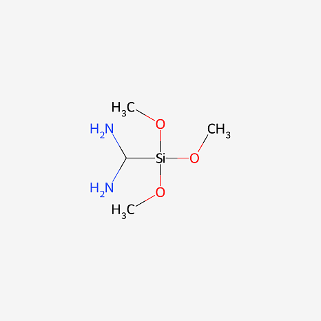 CO[Si](OC)(OC)C(N)N